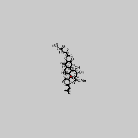 COC(=O)C[C@@H]1[C@@H](OC(=O)C=C(C)C)C(=O)O[C@@H]2C[C@H]3C(C)=C(OC(=O)[C@H](C)NC(=O)OC(C)(C)C)C(=O)C[C@]3(C)C3[C@@H](O)[C@H](O)COC[C@@]312